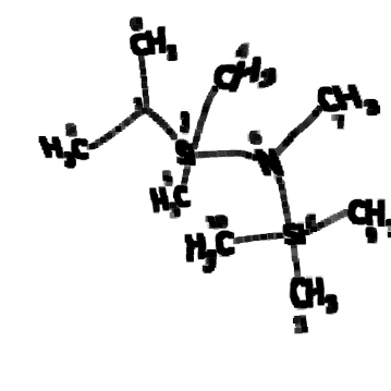 CC(C)[Si](C)(C)N(C)[Si](C)(C)C